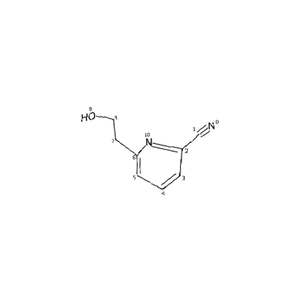 N#Cc1cccc(CCO)n1